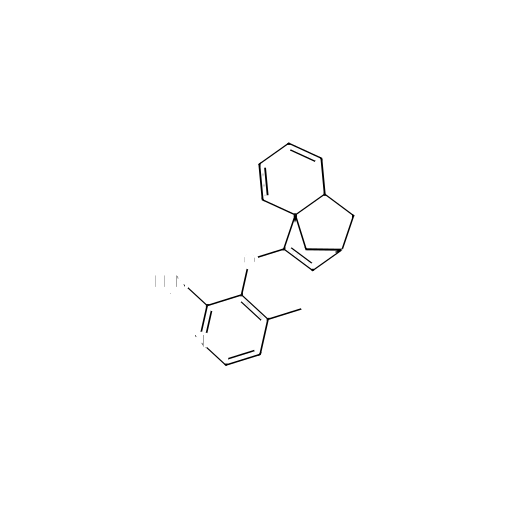 Cc1ccnc(N)c1OC1=CC2CC3C=CC=CC13C2